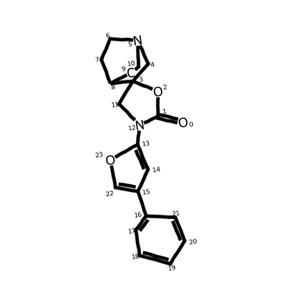 O=C1OC2(CN3CCC2CC3)CN1c1cc(-c2ccccc2)co1